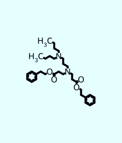 CCCCN(CCCC)CCCN(CCC(=O)OCCc1ccccc1)CCC(=O)OCCc1ccccc1